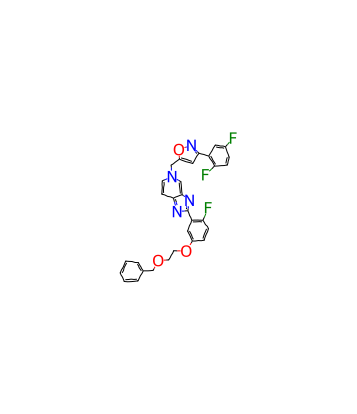 Fc1ccc(F)c(-c2cc(Cn3ccc4nc(-c5cc(OCCOCc6ccccc6)ccc5F)nc-4c3)on2)c1